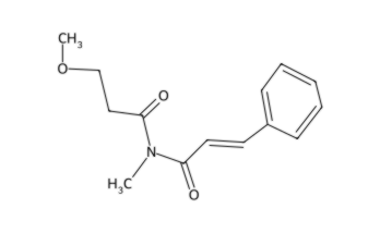 COCCC(=O)N(C)C(=O)/C=C/c1ccccc1